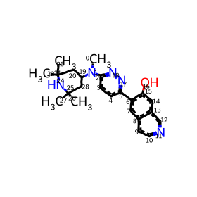 CN(c1ccc(-c2cc3ccncc3cc2O)nn1)C1CC(C)(C)NC(C)(C)C1